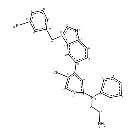 NCCN(c1ccccc1)c1cc(-c2ccc3ncn(Cc4cccc(F)c4)c3c2)c(Cl)cn1